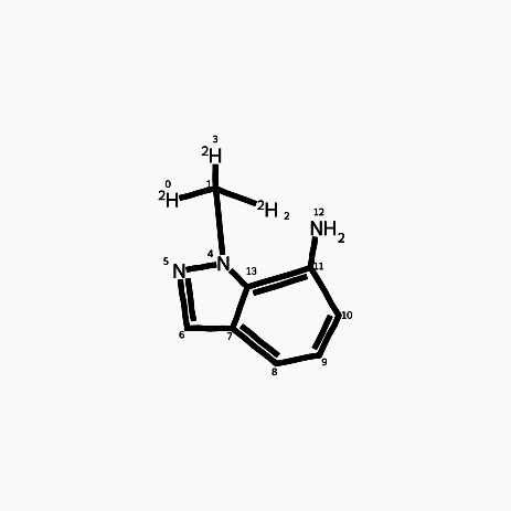 [2H]C([2H])([2H])n1ncc2cccc(N)c21